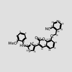 COc1ccccc1Nc1nc(-c2cc3cccc(OCc4ccncc4C#N)c3oc2=O)cs1